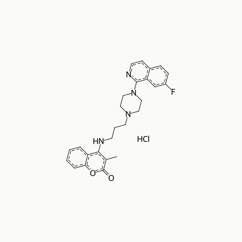 Cc1c(NCCCN2CCN(c3nccc4ccc(F)cc34)CC2)c2ccccc2oc1=O.Cl